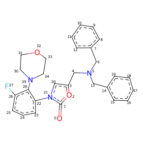 O=c1oc(CN(Cc2ccccc2)Cc2ccccc2)cn1-c1cccc(F)c1N1CCOCC1